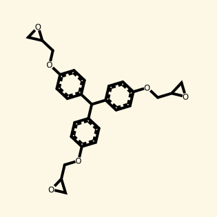 c1cc(C(c2ccc(OCC3CO3)cc2)c2ccc(OCC3CO3)cc2)ccc1OCC1CO1